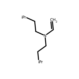 C=CN(CCC(C)C)CCC(C)C